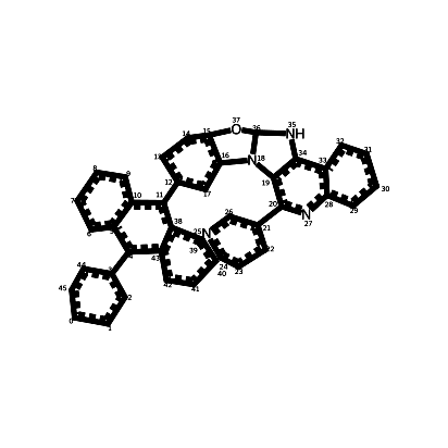 c1ccc(-c2c3ccccc3c(-c3ccc4c(c3)N3c5c(-c6cccnc6)nc6ccccc6c5NC3O4)c3ccccc23)cc1